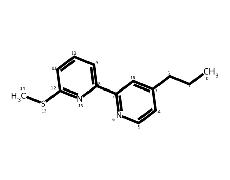 CCCc1ccnc(-c2cccc(SC)n2)c1